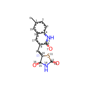 Cc1ccc2[nH]c(=O)c(/C=C3\SC(=O)NC3=O)cc2c1